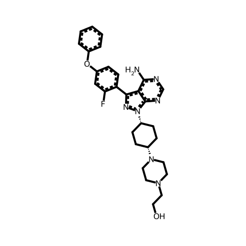 Nc1ncnc2c1c(-c1ccc(Oc3ccccc3)cc1F)nn2[C@H]1CC[C@@H](N2CCN(CCO)CC2)CC1